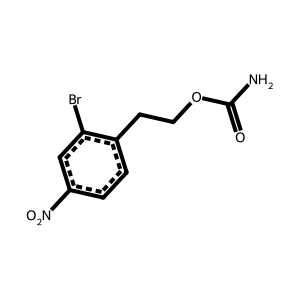 NC(=O)OCCc1ccc([N+](=O)[O-])cc1Br